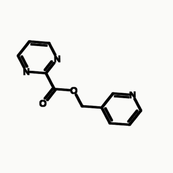 O=C(OCc1cccnc1)c1ncccn1